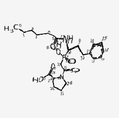 CCCCCC(=O)NC(CCc1ccccc1)P(=O)(O)CC(=O)N1CCC[C@H]1C(=O)O